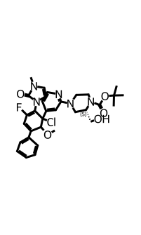 COC1C(c2ccccc2)=CC(F)=C(n2ccn(C)c2=O)C1(Cl)c1ccnc(N2CCN(C(=O)OC(C)(C)C)[C@H](CO)C2)c1